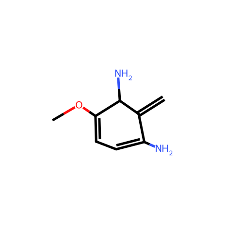 C=C1C(N)=CC=C(OC)C1N